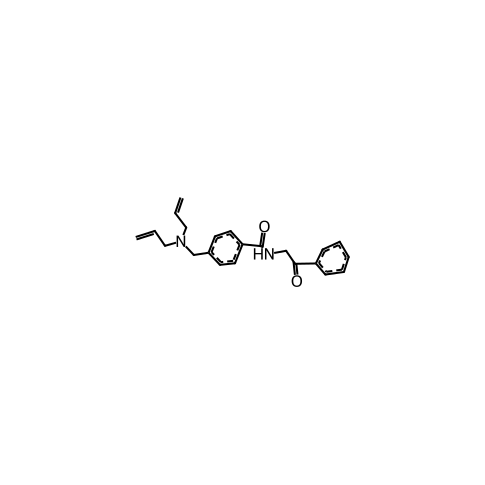 C=CCN(CC=C)Cc1ccc(C(=O)NCC(=O)c2ccccc2)cc1